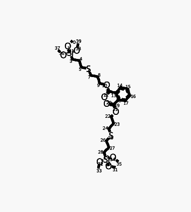 CO[Si](CCCSCCCOC(=O)c1ccccc1C(=O)OCCCSCCC[Si](OC)(OC)OC)(OC)OC